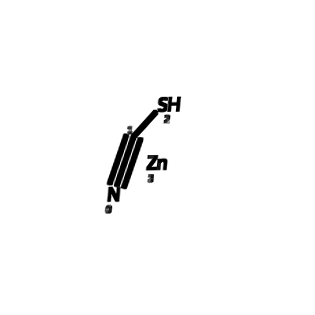 N#CS.[Zn]